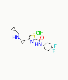 Cl.O=C(NC1CCC(F)(F)CC1)c1nc([C@@H]2C[C@H]2NCC2CC2)cs1